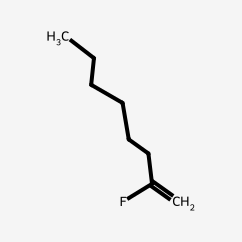 C=C(F)CCCCCC